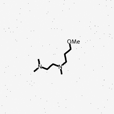 COCCCN(C)CCN(C)C